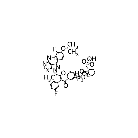 CC(C)Oc1ccc(-c2nn([C@@H](C)c3oc4ccc(F)cc4c(=O)c3-c3cccc(F)c3)c3ncnc(N)c23)cc1F.CC1(C)C2CCC1(CS(=O)(=O)O)C(=O)C2